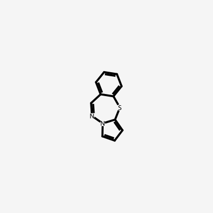 C1=Nn2cccc2Sc2ccccc21